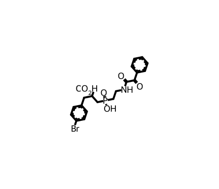 O=C(NCCP(=O)(O)CC(Cc1ccc(Br)cc1)C(=O)O)C(=O)c1ccccc1